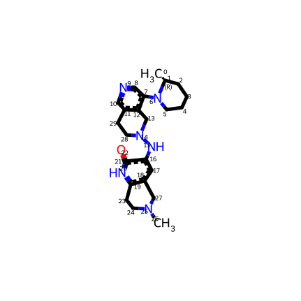 C[C@@H]1CCCCN1c1cncc2c1CN(Nc1cc3c([nH]c1=O)CCN(C)C3)CC2